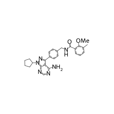 COc1c(C)cccc1C(=O)NCc1ccc(-c2nn(C3CCCC3)c3ncnc(N)c23)cc1